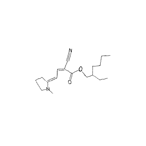 CCCCC(CC)COC(=O)/C(C#N)=C\C=C1/CCCN1C